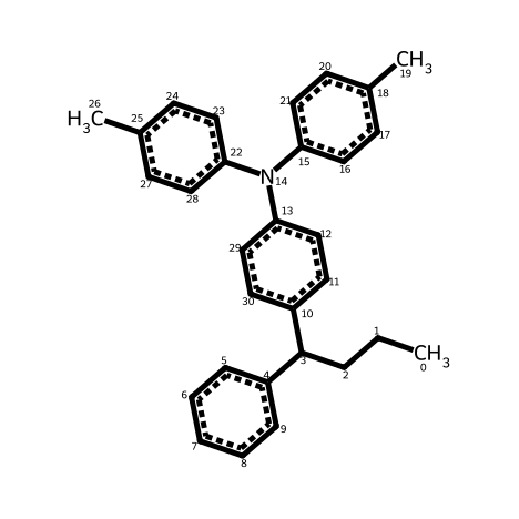 CCCC(c1ccccc1)c1ccc(N(c2ccc(C)cc2)c2ccc(C)cc2)cc1